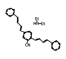 CCNCC.N#Cc1cc(C=CC=Cc2ccccc2)ccc1C=CC=Cc1ccccc1